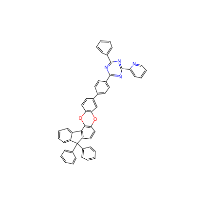 c1ccc(-c2nc(-c3ccc(-c4ccc5c(c4)Oc4ccc6c(c4O5)-c4ccccc4C6(c4ccccc4)c4ccccc4)cc3)nc(-c3ccccn3)n2)cc1